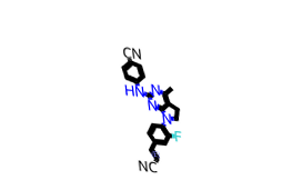 Cc1nc(Nc2ccc(C#N)cc2)nc2c1CCN2c1ccc(/C=C/C#N)cc1F